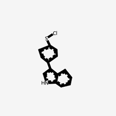 ClSc1ccc(-c2c[nH]c3ccccc23)cc1